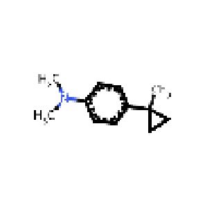 CN(C)c1ccc(C2(C(F)(F)F)CC2)cc1